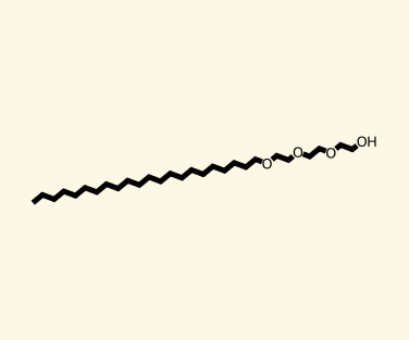 CCCCCCCCCCCCCCCCCCCCCCOCCOCCOCCO